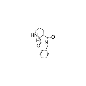 O=C1C2CCCN[C@@H]2C(=O)N1Cc1ccccc1